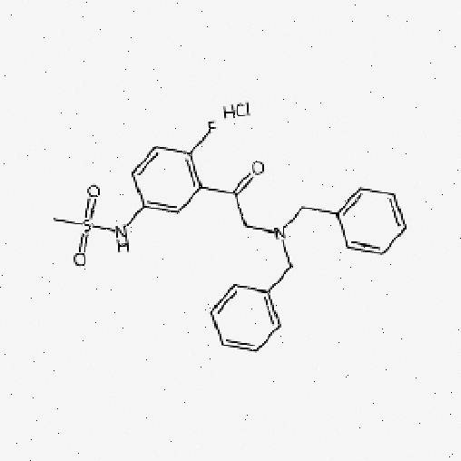 CS(=O)(=O)Nc1ccc(F)c(C(=O)CN(Cc2ccccc2)Cc2ccccc2)c1.Cl